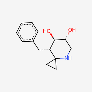 O[C@H]1[C@H](O)CNC2(CC2)[C@@H]1Cc1ccccc1